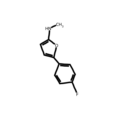 CNc1ccc(-c2ccc(F)cc2)o1